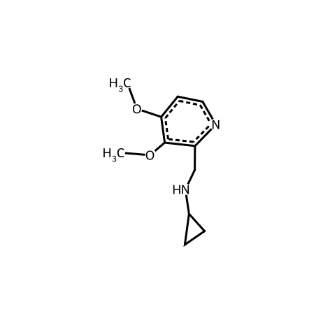 COc1ccnc(CNC2CC2)c1OC